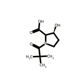 CC(C)(C)C(=O)N1CC[C@H](O)C1C(=O)O